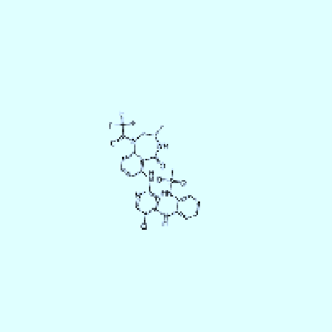 CC1CN(C(=O)C(F)(F)F)c2cccc(Nc3ncc(Cl)c(Nc4ccccc4NS(C)(=O)=O)n3)c2C(=O)N1